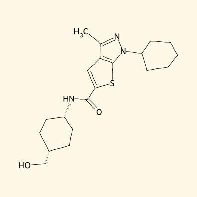 Cc1nn(C2CCCCC2)c2sc(C(=O)N[C@H]3CC[C@@H](CO)CC3)cc12